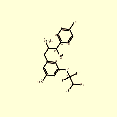 CCOC(=O)C(Cc1cc(C)cc(OC(F)(F)C(F)F)c1)C(O)c1ccc(F)cc1